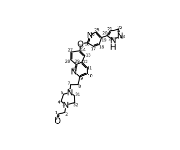 O=CCN1CCN(CCc2ccc3cc(Oc4ccc(-c5ccn[nH]5)cn4)ccc3n2)CC1